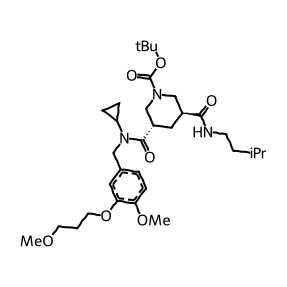 COCCCOc1cc(CN(C(=O)[C@H]2C[C@H](C(=O)NCCC(C)C)CN(C(=O)OC(C)(C)C)C2)C2CC2)ccc1OC